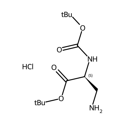 CC(C)(C)OC(=O)N[C@@H](CN)C(=O)OC(C)(C)C.Cl